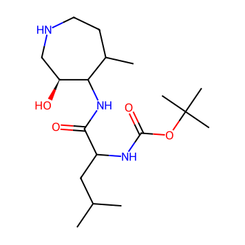 CC(C)CC(NC(=O)OC(C)(C)C)C(=O)NC1C(C)CCNC[C@@H]1O